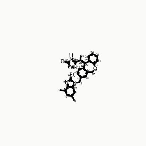 CCc1nc2c(C)cc(C)cc2n1Cc1ccc2c(c1)COc1ccccc1C2=C(C)c1noc(=O)[nH]1